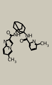 Cc1ccc2nc(C(=O)NC34CC5CC(CC(NC(=O)c6cccc(C)n6)(C5)C3)C4)cn2c1